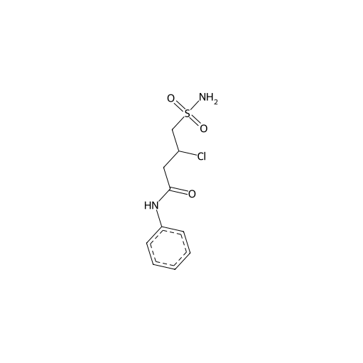 NS(=O)(=O)CC(Cl)CC(=O)Nc1ccccc1